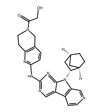 O=C(CO)N1CCc2nc(Nc3ncc4c5ccncc5n([C@@H]5C[C@H]6CC[C@@H]5C6)c4n3)ccc2C1